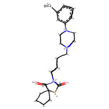 COc1cccc(N2CCN(CCCCN3C(=O)SC4(CCCC4)C3=O)CC2)c1